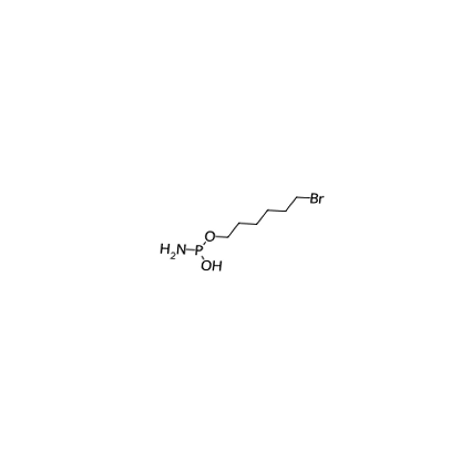 NP(O)OCCCCCCBr